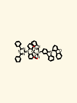 c1ccc(-c2nc(-c3ccccc3)nc(N3c4ccccc4[Si]4(c5ccccc53)n3c(nc5ccccc53)N(c3ccc5c(c3)c3ccccc3n5-c3cccc5oc6ccccc6c35)c3nc5ccccc5n34)n2)cc1